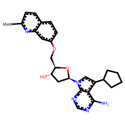 CNc1ccc2ccc(OC[C@H]3O[C@@H](n4cc(C5CCCC5)c5c(N)ncnc54)C[C@@H]3O)cc2n1